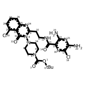 CC(C)(C)OC(=O)N1CCN(n2c(CCNC(=O)c3nc(Cl)c(N)nc3N)nc3cccc(Cl)c3c2=O)CC1